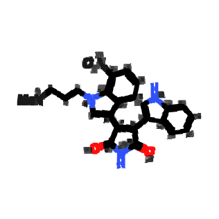 CNCCCn1cc(C2=C(c3c[nH]c4ccccc34)C(=O)NC2=O)c2cccc([N+](=O)[O-])c21